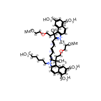 CC[N+]1=C(/C=C/C=C/C=C2/N(CCCCCC(=O)O)c3ccc4c(S(=O)(=O)O)cc(S(=O)(=O)O)cc4c3C2(C)CCOCCOC)C(C)(CCOCCOC)c2c1ccc1c(S(=O)(=O)O)cc(S(=O)(=O)O)cc21